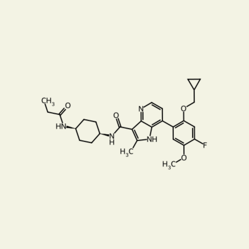 CCC(=O)N[C@H]1CC[C@@H](NC(=O)c2c(C)[nH]c3c(-c4cc(OC)c(F)cc4OCC4CC4)ccnc23)CC1